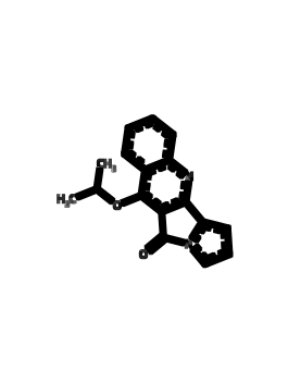 CC(C)Oc1c2c(nc3ccccc13)-c1cccn1C2=O